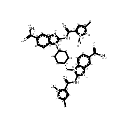 CCn1nc(C)cc1C(=O)Nc1nc2cc(C(N)=O)ccc2n1C[C@H]1CC[C@H](n2c(NC(=O)c3cc(C)nn3CC)nc3cc(C(N)=O)ccc32)CC1